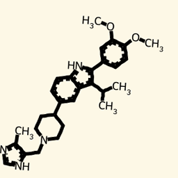 COc1ccc(-c2[nH]c3ccc(C4CCN(Cc5[nH]cnc5C)CC4)cc3c2C(C)C)cc1OC